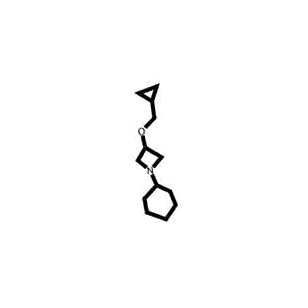 C1CCC(N2CC(OCC3CC3)C2)CC1